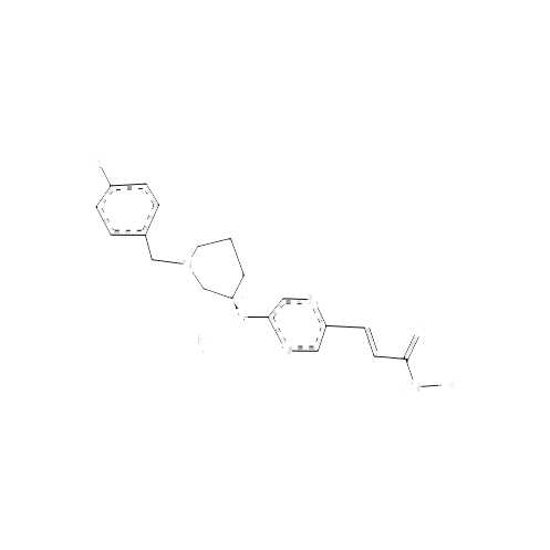 Cl.Cl.O=C(/C=C/c1cnc(N[C@@H]2CCCN(Cc3ccc(Cl)cc3)C2)cn1)NO